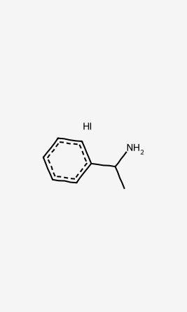 CC(N)c1ccccc1.I